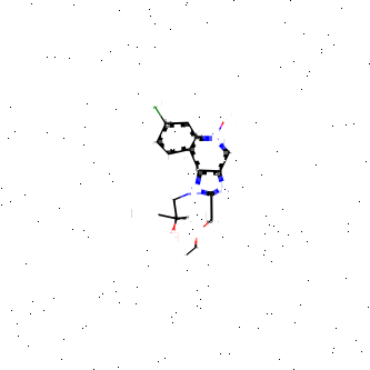 CCOCc1nc2c[n+]([O-])c3cc(Cl)ccc3c2n1CC(C)(C)O